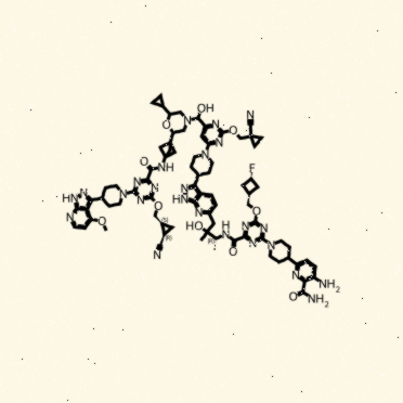 COc1ccnc2[nH]nc(C3CCN(c4nc(OC[C@H]5C[C@H]5C#N)nc(C(=O)NC56CC(C7CN(C(O)c8cc(N9CCC(c%10n[nH]c%11nc(CC(C)(O)[C@@H](C)NC(=O)c%12nc(OC[C@H]%13C[C@H](F)C%13)nc(N%13CCC(c%14ccc(N)c(C(N)=O)n%14)CC%13)n%12)ccc%10%11)CC9)nc(OCC9(C#N)CC9)n8)CC(C8CC8)O7)(C5)C6)n4)CC3)c12